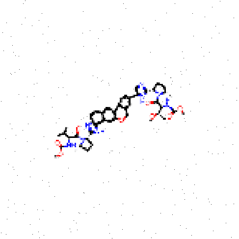 COC(=O)N[C@H](C(=O)N1[C@@H](C)CC[C@H]1c1nc2ccc3cc4c(cc3c2[nH]1)OCc1cc(-c2cnc([C@@H]3CC[C@H](C)N3C(=O)[C@@H](NC(=O)OC)[C@@H](C)OC)[nH]2)ccc1-4)C(C)C